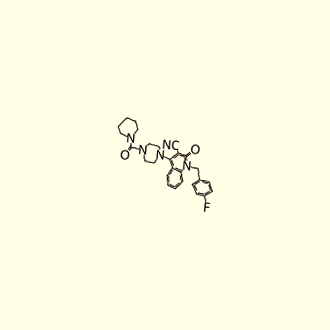 N#Cc1c(N2CCN(C(=O)N3CCCCC3)CC2)c2ccccc2n(Cc2ccc(F)cc2)c1=O